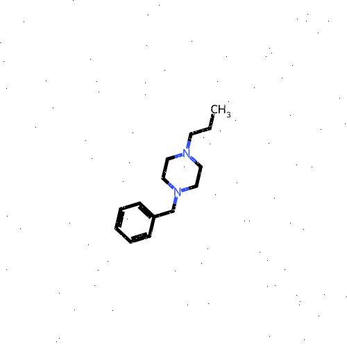 CCCN1CCN(Cc2ccccc2)CC1